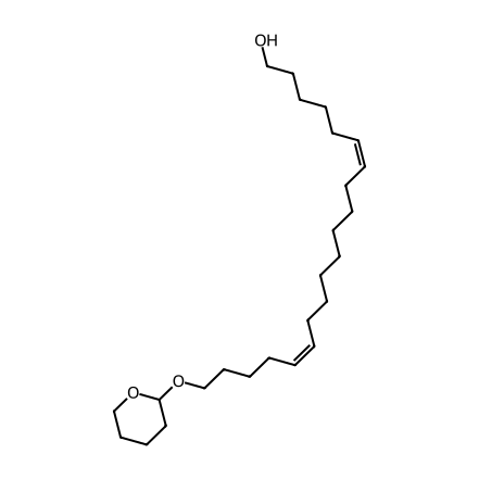 OCCCCC/C=C\CCCCCCC/C=C\CCCCOC1CCCCO1